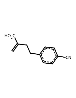 C=C(CCc1ccc(C#N)cc1)C(=O)O